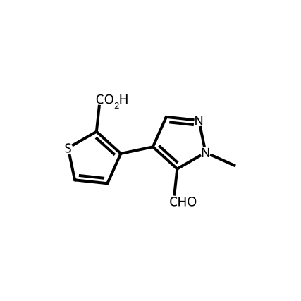 Cn1ncc(-c2ccsc2C(=O)O)c1C=O